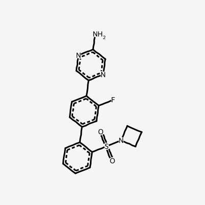 Nc1cnc(-c2ccc(-c3ccccc3S(=O)(=O)N3CCC3)cc2F)cn1